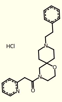 Cl.O=C(Cc1ccccn1)N1CCOC2(CCN(CCc3ccccc3)CC2)C1